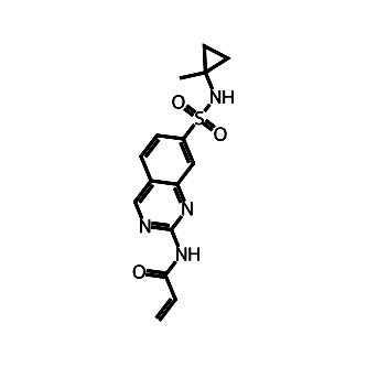 C=CC(=O)Nc1ncc2ccc(S(=O)(=O)NC3(C)CC3)cc2n1